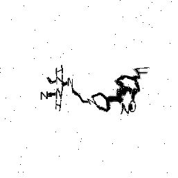 CCN/C(=N/CCCN1CCC(c2noc3cc(F)ccc23)CC1)NC#N